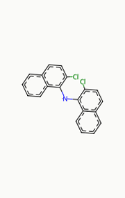 Clc1ccc2ccccc2c1[N]c1c(Cl)ccc2ccccc12